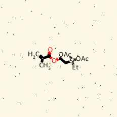 C=C(C)C(=O)OCC[Si](CC)(OC(C)=O)OC(C)=O